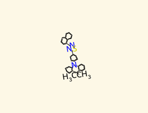 CC1(C)c2ccccc2N(c2ccc(-c3nc(-c4cccc5ccccc45)ns3)cc2)c2ccccc21